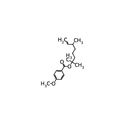 C=CC(C)CCCC(C)(C)OC(=O)c1ccc(OC)cc1